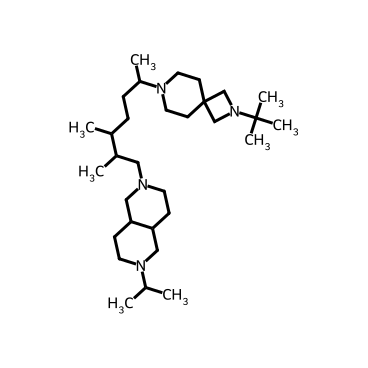 CC(CCC(C)N1CCC2(CC1)CN(C(C)(C)C)C2)C(C)CN1CCC2CN(C(C)C)CCC2C1